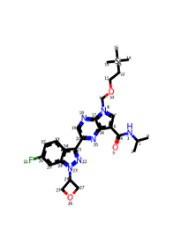 CC(C)NC(=O)c1cn(COCC[Si](C)(C)C)c2ncc(-c3nn(C4COC4)c4cc(F)ccc34)nc12